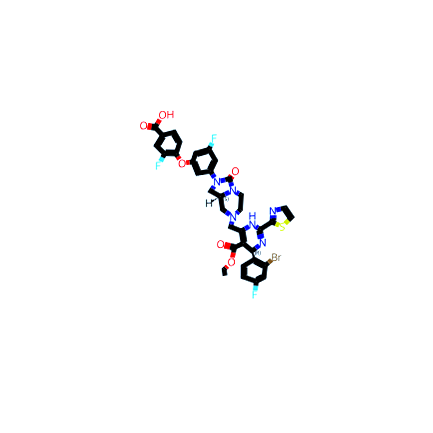 CCOC(=O)C1=C(CN2CCN3C(=O)N(c4cc(F)cc(Oc5ccc(C(=O)O)cc5F)c4)C[C@@H]3C2)NC(c2nccs2)=N[C@H]1c1ccc(F)cc1Br